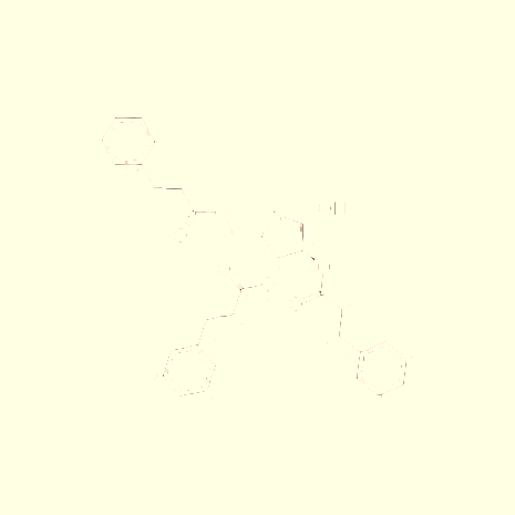 O=C(CCc1ccccc1)OC[C@@H]1S[C@H](O)[C@@H](OC(=O)CCc2ccccc2)[C@@H]1OC(=O)CCc1ccccc1